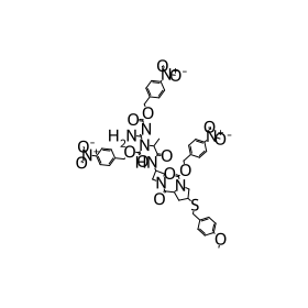 COc1ccc(CSC2CC(C(=O)N3CC(NC(=O)C(C)N(C(=O)OCc4ccc([N+](=O)[O-])cc4)C(N)=NC(=O)OCc4ccc([N+](=O)[O-])cc4)C3)N(C(=O)OCc3ccc([N+](=O)[O-])cc3)C2)cc1